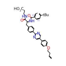 C=CCCOc1ccc(-c2cnc(-c3ccc(C[C@H](NC(=O)C(/C=C\C(=C)C(C)(C)C)=C/C)C(=O)NCCC(=O)O)cc3)nc2)cc1